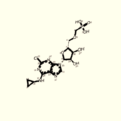 O=P(O)(O)COC[C@H]1O[C@@H](n2cnc3c(NC4CC4)nc(Cl)nc32)[C@H](O)[C@@H]1O